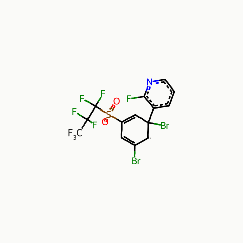 O=S(=O)(C1=CC(Br)(c2cccnc2F)[CH]C(Br)=C1)C(F)(F)C(F)(F)C(F)(F)F